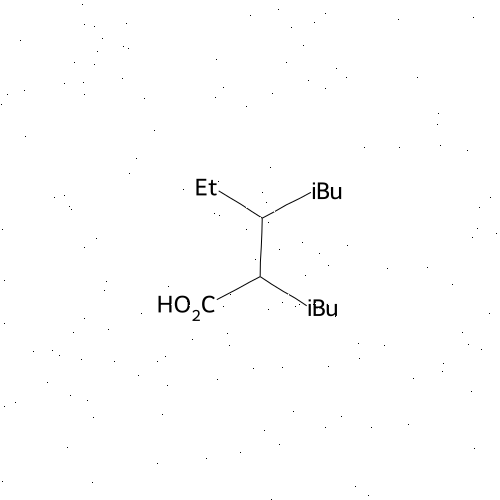 CCC(C)C(CC)C(C(=O)O)C(C)CC